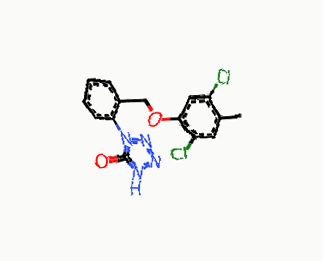 Cc1cc(Cl)c(OCc2ccccc2-n2nn[nH]c2=O)cc1Cl